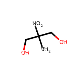 BC(CO)(CO)[N+](=O)[O-]